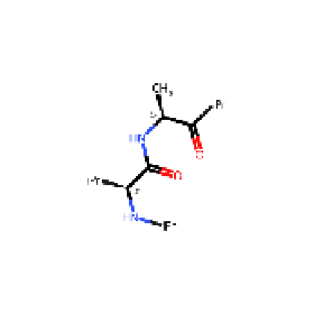 CC(C)N[C@H](C(=O)N[C@@H](C)C(=O)C(C)C)C(C)C